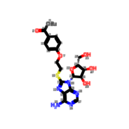 CC(C)COC(=O)c1ccc(OCCSc2nc3c(N)ncnc3n2[C@@H]2O[C@H](CO)[C@@H](O)[C@H]2O)cc1